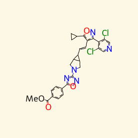 COC(=O)c1ccc(-c2nc(N3CC4C(C=Cc5c(-c6c(Cl)cncc6Cl)noc5C5CC5)C4C3)no2)cc1